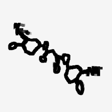 [N-]=[N+]=C1CC(OC(=O)CC(=O)OC2CCC(=O)C(=[N+]=[N-])C2)CCC1=O